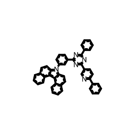 c1ccc(-c2ccc(-c3nc(-c4ccccc4)nc(-c4cccc(-n5c6ccc7ccccc7c6c6c7ccccc7ccc65)c4)n3)cn2)cc1